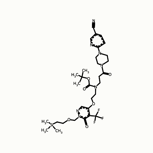 CC(C)(C)OC(=O)N(CCOc1cnn(COCC[Si](C)(C)C)c(=O)c1C(F)(F)F)CCC(=O)N1CCN(c2ccc(C#N)cn2)CC1